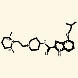 CC(C)COc1cccc2[nH]c(C(=O)NC3CCN(CCN4[C@H](C)CCC[C@@H]4C)CC3)cc12